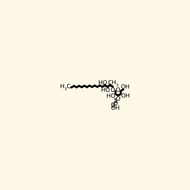 CCCCCCCCCCCCCC[C@@H](O)[C@@H](O)[C@@H](C)COC1OC(CO)C(O)C(OSOOO)C1O